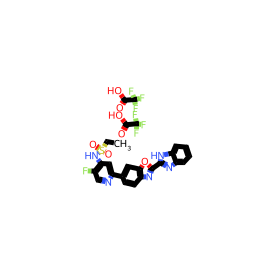 CCS(=O)(=O)Nc1cc(-c2ccc3nc(-c4nc5ccccc5[nH]4)oc3c2)ncc1F.O=C(O)C(F)(F)F.O=C(O)C(F)(F)F